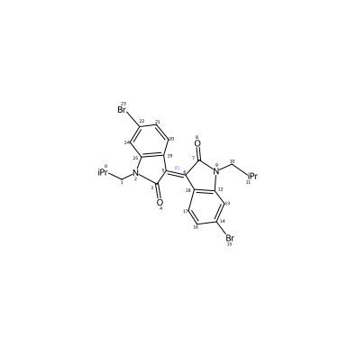 CC(C)CN1C(=O)/C(=C2/C(=O)N(CC(C)C)c3cc(Br)ccc32)c2ccc(Br)cc21